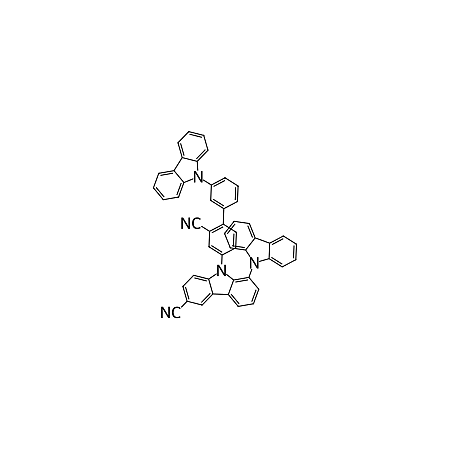 N#Cc1ccc2c(c1)c1cccc(-n3c4ccccc4c4ccccc43)c1n2-c1ccc(-c2cccc(-n3c4ccccc4c4ccccc43)c2)c(C#N)c1